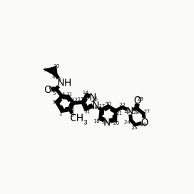 Cc1ccc(C(=O)NC2CC2)cc1-c1cnn(-c2cncc(CN3CCOCC3=O)c2)c1